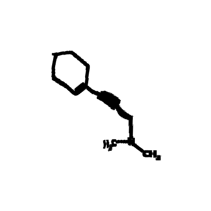 CN(C)CC#CC1=CC[CH]CC1